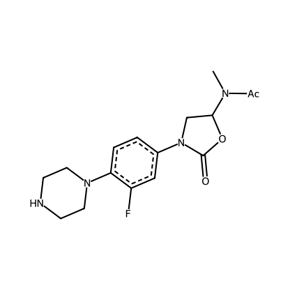 CC(=O)N(C)C1CN(c2ccc(N3CCNCC3)c(F)c2)C(=O)O1